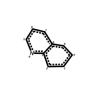 [c]1ccc2nc[c]cc2c1